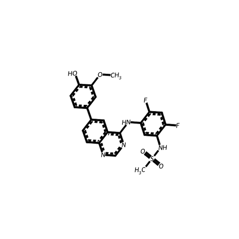 COc1cc(-c2ccc3ncnc(Nc4cc(NS(C)(=O)=O)c(F)cc4F)c3c2)ccc1O